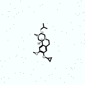 COc1cc2c(cc1OC1CC1)CCN1C[C@@H](CC(C)C)N(C)C[C@H]21